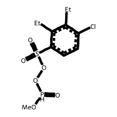 CCc1c(Cl)ccc(S(=O)(=O)OO[PH](=O)OC)c1CC